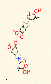 COc1cc2c(cc1OCCOc1cc3cc(C(=O)C[C@H](C)C(=O)O)sc3cc1OC)CN(C(=O)C[C@H](C)C(=O)O)C2